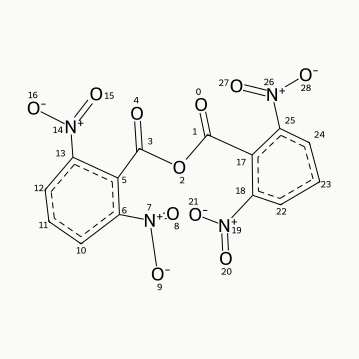 O=C(OC(=O)c1c([N+](=O)[O-])cccc1[N+](=O)[O-])c1c([N+](=O)[O-])cccc1[N+](=O)[O-]